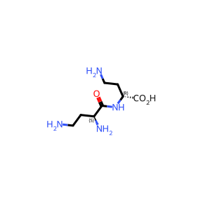 NCC[C@H](N)C(=O)N[C@H](CCN)C(=O)O